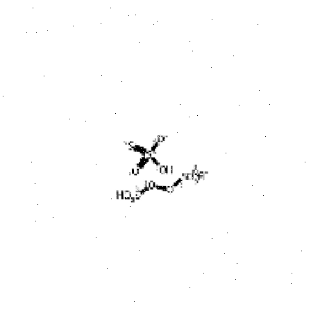 O=S(=O)(O)OOS(=O)(=O)O.O=S([O-])(O)=S.[Na+]